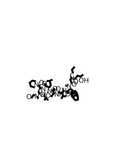 CCCCN(CC(=O)N(C)C(CC1C2=C3CCC(=C1CC2)C3)C(=O)N(C)C(C(=O)NC(COC(C)(C)C)C(=O)N(C)C(CC(C)C)C(=O)N[C@@H](CC(=O)N(C)CC=O)C(=O)N1CCCCC1)C(C)C)C(=O)CC(C)O